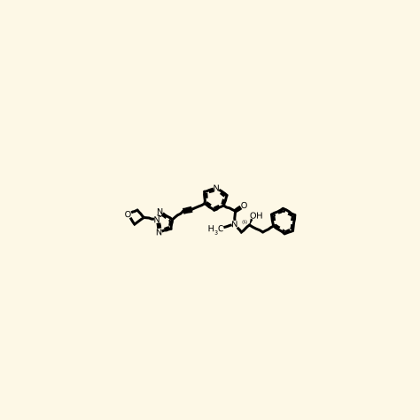 CN(C[C@@H](O)Cc1ccccc1)C(=O)c1cncc(C#Cc2cnn(C3COC3)n2)c1